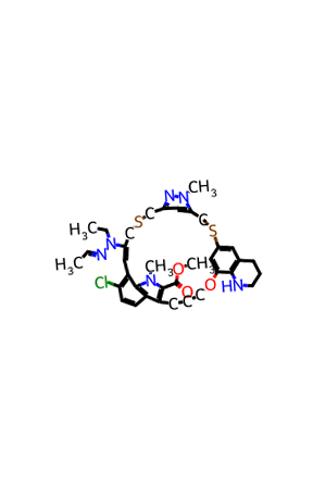 C/C=N/N(CC)/C1=C/c2c(Cl)ccc3c(c(C(=O)OC)n(C)c23)CCCOc2cc(cc3c2NCCC3)SCc2cc(nn2C)CSC1